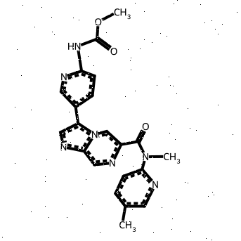 COC(=O)Nc1ccc(-c2cnc3cnc(C(=O)N(C)c4ccc(C)cn4)cn23)cn1